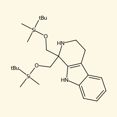 CC(C)(C)[Si](C)(C)OCC1(CO[Si](C)(C)C(C)(C)C)NCCc2c1[nH]c1ccccc21